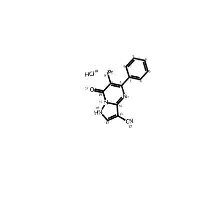 CC(C)c1c(-c2ccccc2)nc2c(C#N)c[nH]n2c1=O.Cl